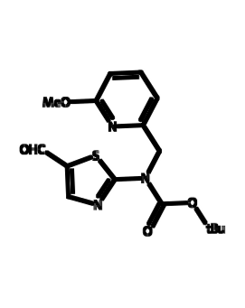 COc1cccc(CN(C(=O)OC(C)(C)C)c2ncc(C=O)s2)n1